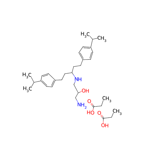 CC(C)c1ccc(CCC(CCc2ccc(C(C)C)cc2)NCC(O)CN)cc1.CCC(=O)O.CCC(=O)O